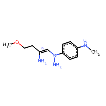 CNc1ccc(N(N)/C=C(\N)CCOC)cc1